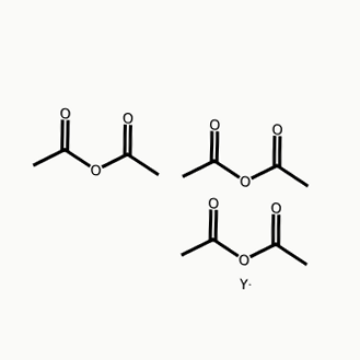 CC(=O)OC(C)=O.CC(=O)OC(C)=O.CC(=O)OC(C)=O.[Y]